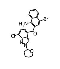 Nc1c(C(=O)c2ccc(Cl)c3nn(C4CCCCO4)cc23)cc(Br)c2ccccc12